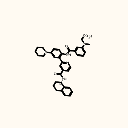 CN(CC(=O)O)c1cccc(C(=O)Nc2ccc(N3CCCCC3)cc2-c2cc(C(=O)N[C@H]3CCCc4ccccc43)ccn2)c1